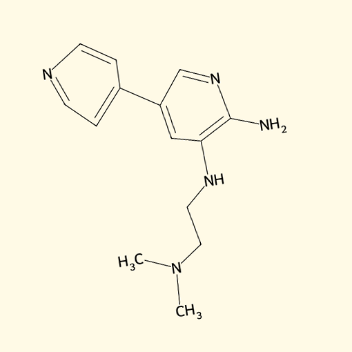 CN(C)CCNc1cc(-c2ccncc2)cnc1N